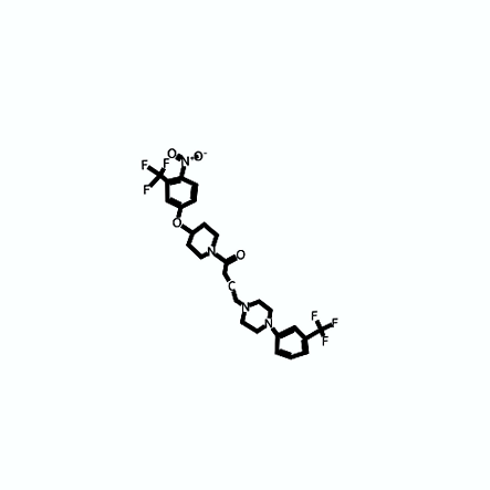 O=C(CCCN1CCN(c2cccc(C(F)(F)F)c2)CC1)N1CCC(Oc2ccc([N+](=O)[O-])c(C(F)(F)F)c2)CC1